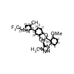 COc1cccc(-n2nnn(C)c2=O)c1COc1ccc(-c2nn(CC(F)(F)F)cc2C)cc1C